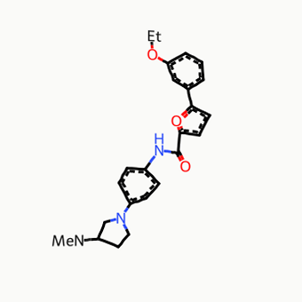 CCOc1cccc(-c2ccc(C(=O)Nc3ccc(N4CCC(NC)C4)cc3)o2)c1